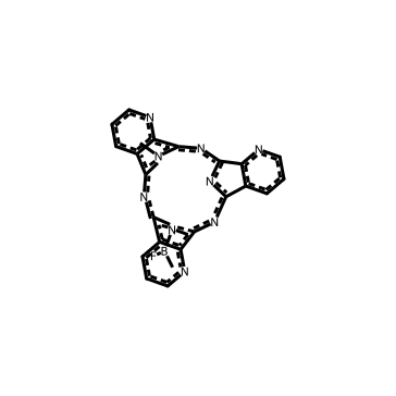 CB(F)n1c2nc3c4cccnc4c(nc4nc(nc1c1ncccc12)-c1cccnc1-4)n3C